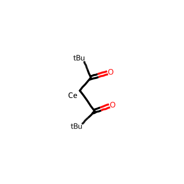 CC(C)(C)C(=O)CC(=O)C(C)(C)C.[Ce]